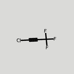 FC(F)(F)C#CCl